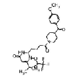 COc1ccc(C(=O)C2CCN(C(=O)CCCC3NC(=O)C=C(C(C)C)N3OC(=O)C(F)(F)F)CC2)cc1